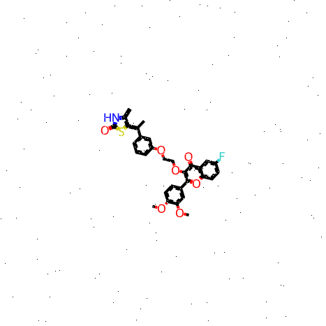 C=c1[nH]c(=O)s/c1=C(/C)c1cccc(OCCOc2c(-c3ccc(OC)c(OC)c3)oc3ccc(F)cc3c2=O)c1